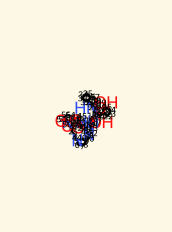 C=C(CCC[n+]1cccc(CN2CCN(C[C@@H](O)C[C@@H](Cc3ccccc3)C(=O)NC3c4ccccc4C[C@H]3O)[C@H](C(=O)NC(C)(C)C)C2)c1)ON1C(=O)CCC1=O